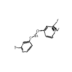 Fc1cc(OBOc2ccnc(F)c2)ccn1